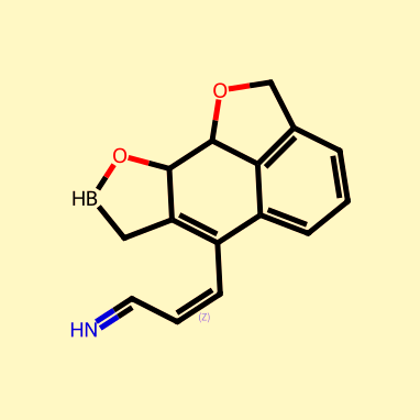 N=C/C=C\C1=C2CBOC2C2OCc3cccc1c32